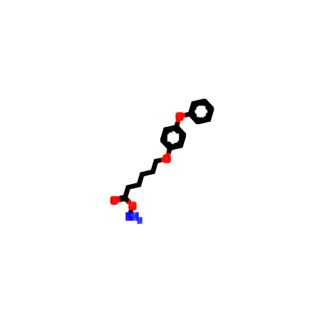 NOC(=O)CCCCCOc1ccc(Oc2ccccc2)cc1